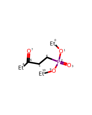 CCOP(=O)(CCC(=O)CC)OCC